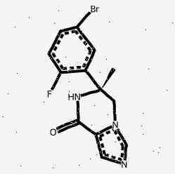 C[C@@]1(c2cc(Br)ccc2F)Cn2cncc2C(=O)N1